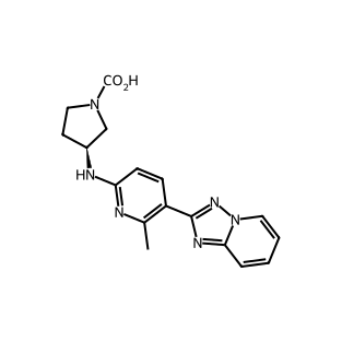 Cc1nc(N[C@H]2CCN(C(=O)O)C2)ccc1-c1nc2ccccn2n1